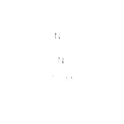 CC1CN(C)CCN(C(=O)OC(C)(C)C)C1